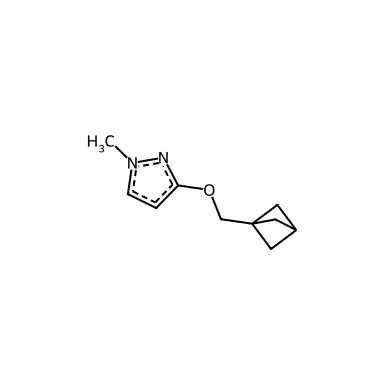 Cn1ccc(OCC23CC(C2)C3)n1